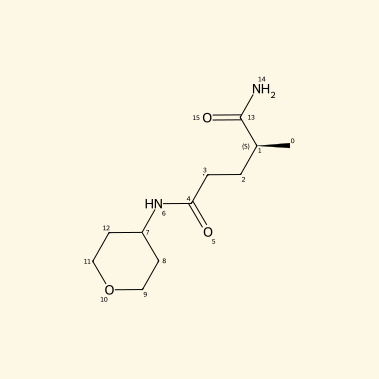 C[C@@H](C[CH]C(=O)NC1CCOCC1)C(N)=O